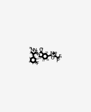 Cn1cc(-c2cccc(F)c2)c(N2Cc3ccc(-c4nnc(C(F)F)o4)cc3C2=O)n1